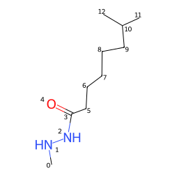 CNNC(=O)CCCCCC(C)C